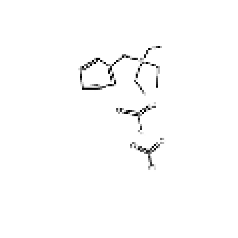 CC[N+](CC)(CC)Cc1ccccc1.O=I(=O)Cl.O=I(=O)Cl